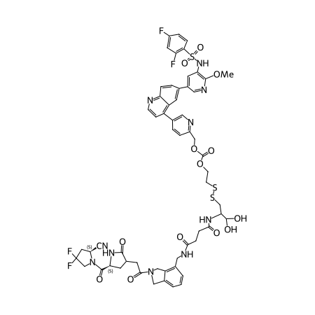 COc1ncc(-c2ccc3nccc(-c4ccc(COC(=O)OCCSSCC(NC(=O)CCC(=O)NCc5cccc6c5CN(C(=O)CC5C[C@@H](C(=O)N7CC(F)(F)C[C@H]7C#N)NC5=O)C6)C(O)O)nc4)c3c2)cc1NS(=O)(=O)c1ccc(F)cc1F